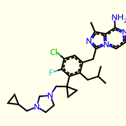 Cc1nc(Cc2cc(Cl)c(F)c(C3(CN4CCN(CC5CC5)C4)CC3)c2CC(C)C)n2ccnc(N)c12